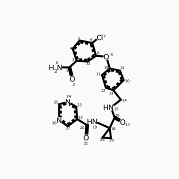 NC(=O)c1ccc(Cl)c(Oc2ccc(CNC(=O)C3(NC(=O)c4cncnc4)CC3)cc2)c1